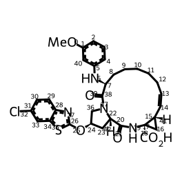 COc1cccc(N[C@H]2CCCCC/C=C\[C@@H]3C[C@@]3(C(=O)O)NC(=O)[C@@H]3C[C@@H](Oc4nc5ccc(Cl)cc5s4)CN3C2=O)c1